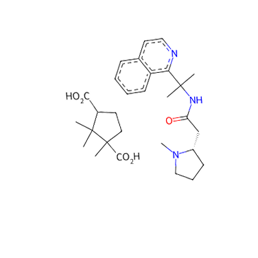 CC1(C(=O)O)CCC(C(=O)O)C1(C)C.CN1CCC[C@H]1CC(=O)NC(C)(C)c1nccc2ccccc12